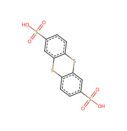 O=S(=O)(O)c1ccc2c(c1)Sc1ccc(S(=O)(=O)O)cc1S2